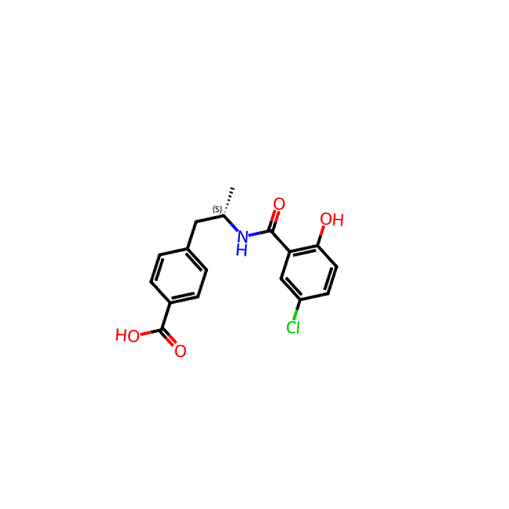 C[C@@H](Cc1ccc(C(=O)O)cc1)NC(=O)c1cc(Cl)ccc1O